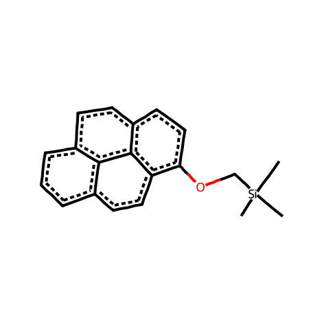 C[Si](C)(C)COc1ccc2ccc3cccc4ccc1c2c34